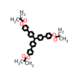 C=C(C)C(=O)Oc1ccc(-c2ccc(C(c3ccc(-c4ccc(OC(=O)C(=C)C)cc4)cc3)c3ccc(-c4ccc(OC(=O)C(=C)C)cc4)cc3)cc2)cc1